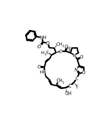 CC1=C\[C@@H](O)C[C@@H](F)Cc2nc(co2)C(=O)N2CCC[C@@H]2C(=O)O[C@H]([C@@H](C)COC(=O)Nc2ccccc2)[C@H](C)/C=C/C(=O)NC\C=C\1